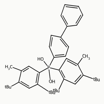 Cc1cc(P(O)(O)(c2ccc(-c3ccccc3)cc2)c2cc(C)c(C(C)(C)C)cc2C(C)(C)C)c(C(C)(C)C)cc1C(C)(C)C